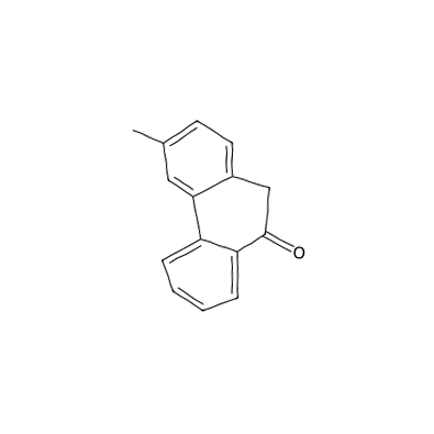 Cc1ccc2c(c1)-c1ccccc1C(=O)C2